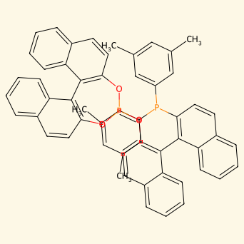 Cc1cc(C)cc(P(c2cc(C)cc(C)c2)c2ccc3ccccc3c2-c2c(Op3oc4ccc5ccccc5c4c4c(ccc5ccccc54)o3)ccc3ccccc23)c1